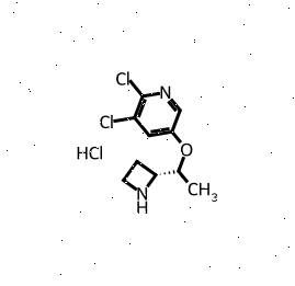 CC(Oc1cnc(Cl)c(Cl)c1)[C@H]1CCN1.Cl